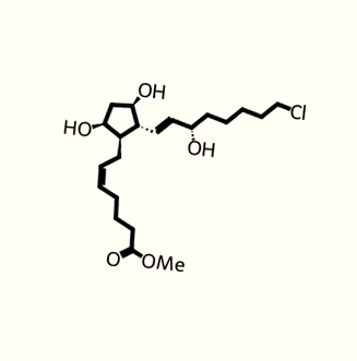 COC(=O)CCC/C=C\C[C@@H]1[C@@H](/C=C/[C@@H](O)CCCCCCl)[C@H](O)C[C@@H]1O